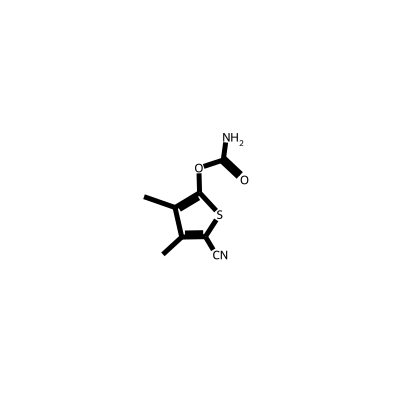 Cc1c(C#N)sc(OC(N)=O)c1C